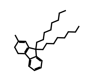 CCCCCCCCC1(CCCCCCCC)C2=C(CCC(C)=C2)c2ccccc21